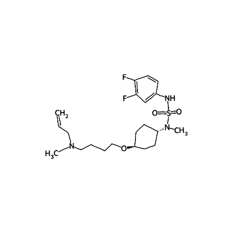 C=CCN(C)CCCCO[C@H]1CC[C@H](N(C)S(=O)(=O)Nc2ccc(F)c(F)c2)CC1